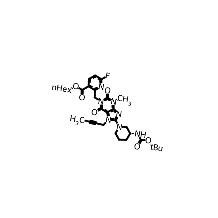 CC#CCn1c(N2CCC[C@@H](NC(=O)OC(C)(C)C)C2)nc2c1c(=O)n(Cc1nc(F)ccc1C(=O)OCCCCCC)c(=O)n2C